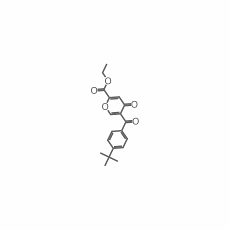 CCOC(=O)c1cc(=O)c(C(=O)c2ccc(C(C)(C)C)cc2)co1